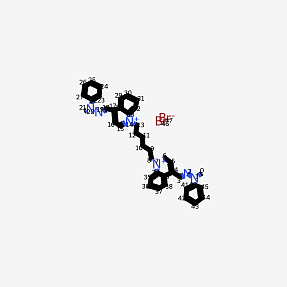 CN(/N=C/c1cc[n+](CCCCCC[n+]2ccc(/C=N/N(C)c3ccccc3)c3ccccc32)c2ccccc12)c1ccccc1.[Br-].[Br-]